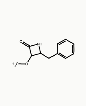 COC1C(=O)NC1Cc1ccccc1